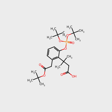 CC(C)(C)OC(=O)Cc1cccc(OP(=O)(OC(C)(C)C)OC(C)(C)C)c1C(C)(C)CC(=O)O